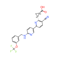 N#Cc1ccc(-c2ccc(NCc3cccc(OC(F)(F)F)c3)nc2)nc1[C@@H]1C[C@H]1C(=O)O